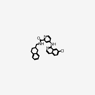 O=C(NCC1CCc2ccccc2C1)c1cc(Nc2nccc3ccc(Cl)cc23)ccn1